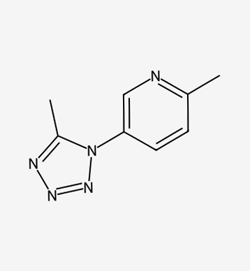 Cc1ccc(-n2nnnc2C)cn1